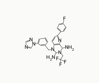 NC1c2nc(-c3ccc(F)cc3)ccc2N(Cc2cccc(-n3cncn3)c2)C(N)N1CC(F)(F)F